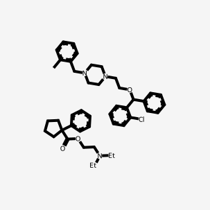 CCN(CC)CCOC(=O)C1(c2ccccc2)CCCC1.Cc1ccccc1CN1CCN(CCOC(c2ccccc2)c2ccccc2Cl)CC1